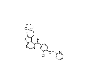 Clc1cc(Nc2ncnc3sc4c(c23)CCC2(C4)OCCO2)ccc1OCc1ccccn1